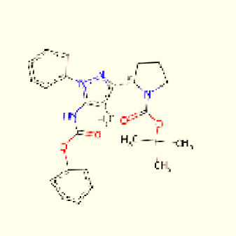 Cc1c([C@@H]2CCCN2C(=O)OC(C)(C)C)nn(-c2ccccc2)c1NC(=O)Oc1ccccc1